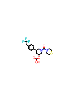 O=C(O)OC1CC(c2ccc(CC(F)(F)F)cc2)CN(C(=O)N2CCSCC2)C1